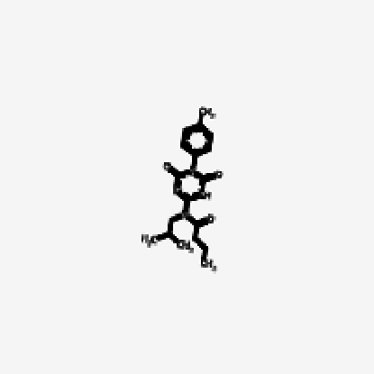 CCCC(=O)N(CC(C)C)c1nc(=O)n(-c2ccc(C)cc2)c(=O)[nH]1